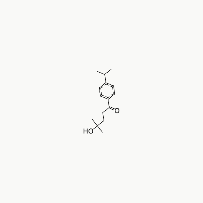 CC(C)c1ccc(C(=O)CCC(C)(C)O)cc1